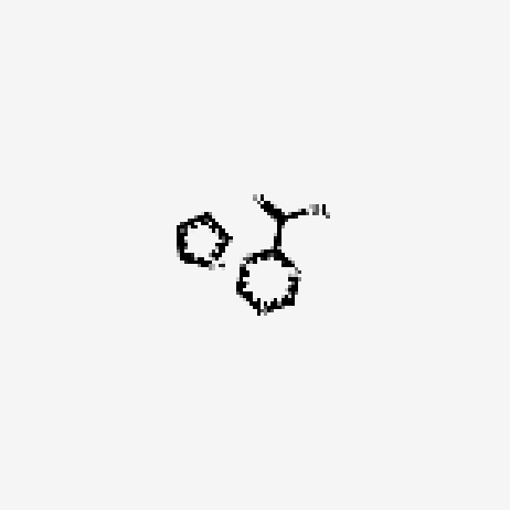 NC(=O)c1ncncn1.c1cc[nH]c1